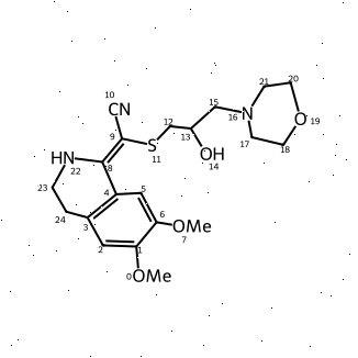 COc1cc2c(cc1OC)C(=C(C#N)SCC(O)CN1CCOCC1)NCC2